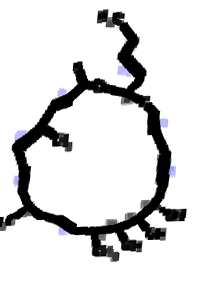 CC/C=C/[C@H]1C/C=C/C=C\[C@H](O)[C@@H](O)[C@@H](O)[C@@H](C)/C=C/C[C@@H](C)/C=C/C=C(C)/C=C/C(=O)O1